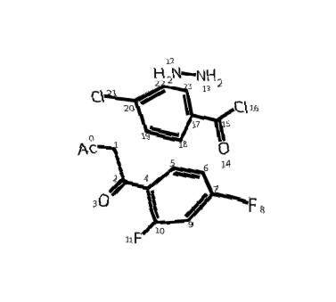 CC(=O)CC(=O)c1ccc(F)cc1F.NN.O=C(Cl)c1ccc(Cl)cc1